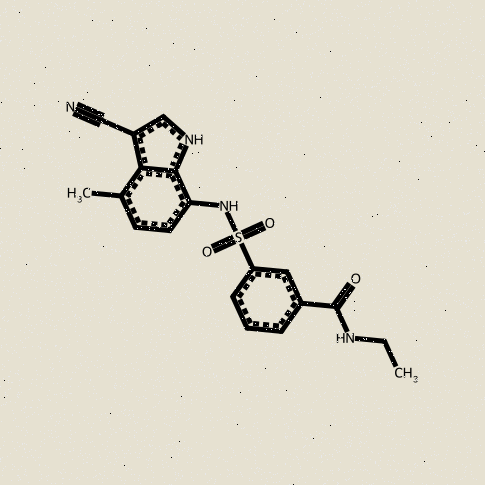 CCNC(=O)c1cccc(S(=O)(=O)Nc2ccc(C)c3c(C#N)c[nH]c23)c1